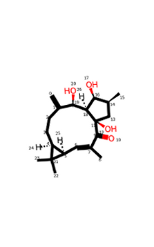 C=C1CC[C@H]2[C@@H](/C=C(\C)C(=O)[C@@]3(O)C[C@H](C)[C@H](O)[C@@H]3[C@@H]1O)C2(C)C